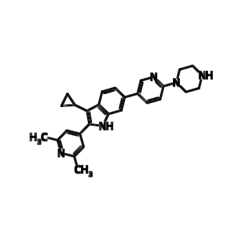 Cc1cc(-c2[nH]c3cc(-c4ccc(N5CCNCC5)nc4)ccc3c2C2CC2)cc(C)n1